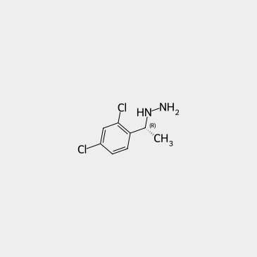 C[C@@H](NN)c1ccc(Cl)cc1Cl